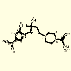 CC(O)(CCN1CCN(C(=O)O)CC1)Cn1cc([N+](=O)[O-])nc1Cl